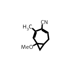 COC12C=C(C)C(C#N)=CCC1C2